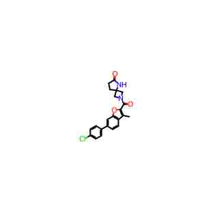 Cc1c(C(=O)N2CC3(CCC(=O)N3)C2)oc2cc(-c3ccc(Cl)cc3)ccc12